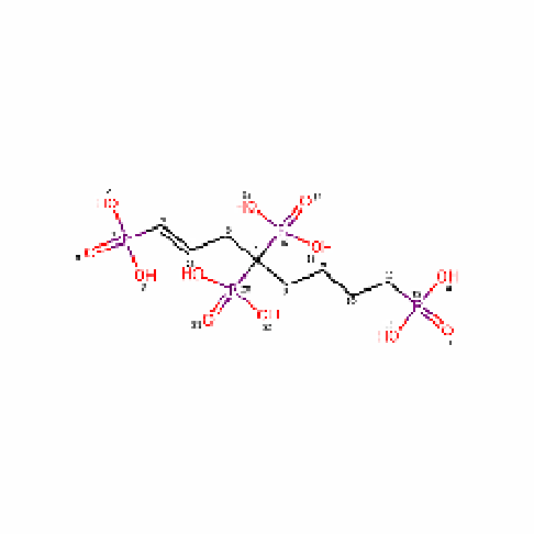 O=P(O)(O)C=CCC(CCCCP(=O)(O)O)(P(=O)(O)O)P(=O)(O)O